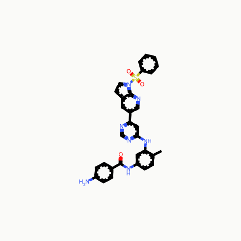 Cc1ccc(NC(=O)c2ccc(N)cc2)cc1Nc1cc(-c2cnc3c(ccn3S(=O)(=O)c3ccccc3)c2)ncn1